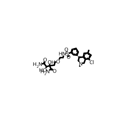 Cc1cc(Cl)c2c(c1)[C@@H](c1cccc(S(=O)(=O)NCCOCCC(O)(C(N)=O)C(O)C(N)=O)c1)CN(C)C2